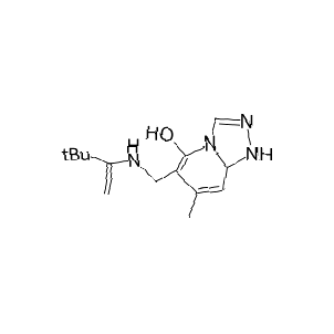 C=C(NCC1=C(O)N2C=NNC2C=C1C)C(C)(C)C